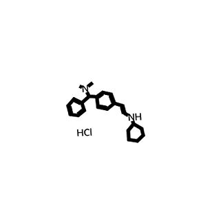 CN(C)C(c1ccccc1)c1ccc(C=CNC2CCCCC2)cc1.Cl